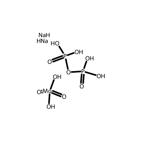 O=P(O)(O)OP(=O)(O)O.[NaH].[NaH].[O]=[Mo](=[O])([OH])[OH]